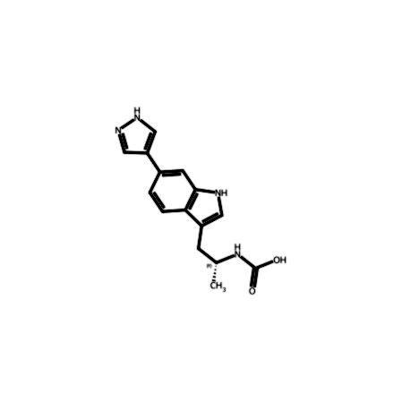 C[C@H](Cc1c[nH]c2cc(-c3cn[nH]c3)ccc12)NC(=O)O